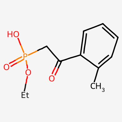 CCOP(=O)(O)CC(=O)c1ccccc1C